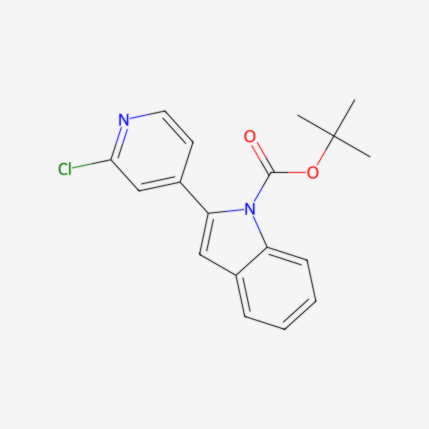 CC(C)(C)OC(=O)n1c(-c2ccnc(Cl)c2)cc2ccccc21